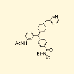 CCN(CC)C(=O)c1ccc(C(=C2CCN(Cc3cccnc3)CC2)c2cccc(NC(C)=O)c2)cc1